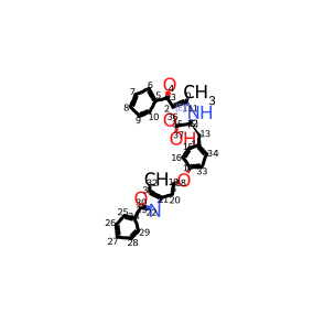 C/C(=C\C(=O)c1ccccc1)N[C@@H](Cc1ccc(OCCc2nc(-c3ccccc3)oc2C)cc1)C(=O)O